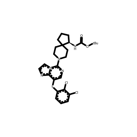 CC(C)(C)OC(=O)N[C@@H]1CCCC12CCN(c1ncc(Sc3cccc(Cl)c3Cl)c3nccn13)CC2